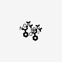 CC(C)N(C(=O)CC(C#N)c1ccccc1)C(C)C.CC(C)N(C(=O)CC(C(N)=O)c1ccccc1)C(C)C